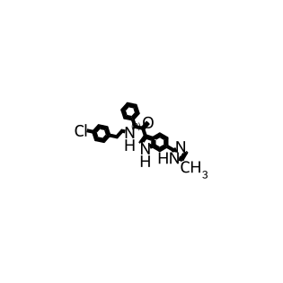 Cc1cnc(-c2ccc3c(C(=O)[C@H](NCCc4ccc(Cl)cc4)c4ccccc4)c[nH]c3c2)[nH]1